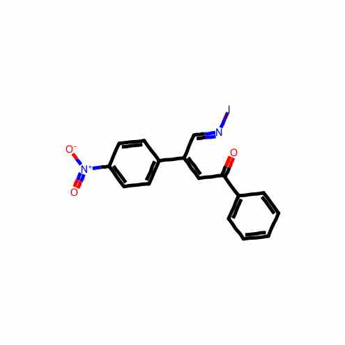 O=C(/C=C(\C=N\I)c1ccc([N+](=O)[O-])cc1)c1ccccc1